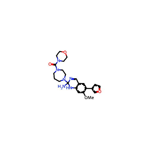 COc1cc2c(cc1-c1ccoc1)C=NC(N)(N1CCCN(C(=O)N3CCOCC3)CC1)N2